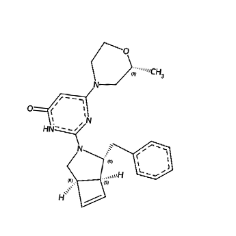 C[C@@H]1CN(c2cc(=O)[nH]c(N3C[C@@H]4C=C[C@@H]4[C@H]3Cc3ccccc3)n2)CCO1